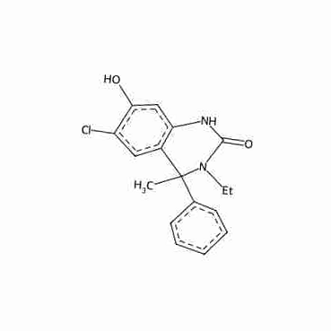 CCN1C(=O)Nc2cc(O)c(Cl)cc2C1(C)c1ccccc1